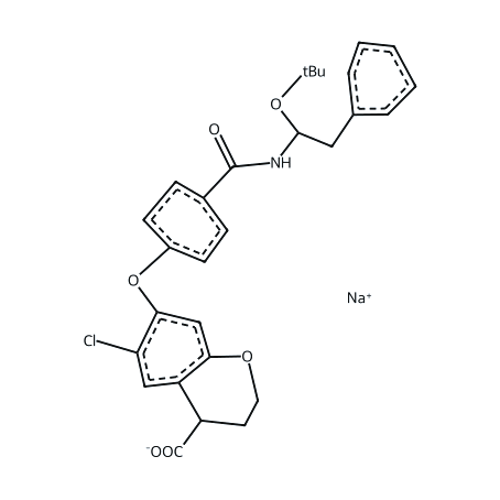 CC(C)(C)OC(Cc1ccccc1)NC(=O)c1ccc(Oc2cc3c(cc2Cl)C(C(=O)[O-])CCO3)cc1.[Na+]